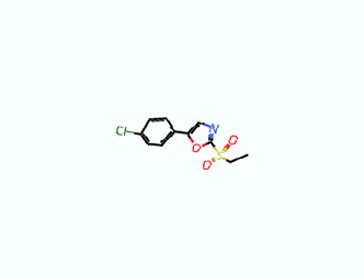 CCS(=O)(=O)c1ncc(-c2ccc(Cl)cc2)o1